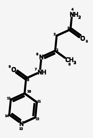 C/C(CC(N)=O)=N\NC(=O)c1ccncc1